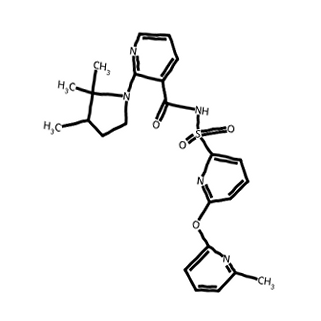 Cc1cccc(Oc2cccc(S(=O)(=O)NC(=O)c3cccnc3N3CCC(C)C3(C)C)n2)n1